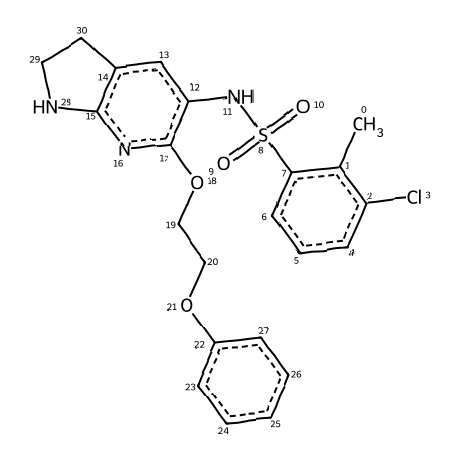 Cc1c(Cl)cccc1S(=O)(=O)Nc1cc2c(nc1OCCOc1ccccc1)NCC2